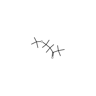 CC(C)(C)OC(C)(C)C(C)(C)C(=O)C(C)(C)C